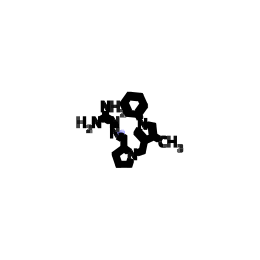 Cc1cn(-c2ccccc2)cc1CN1CCCC1/C=N/N=C(N)N